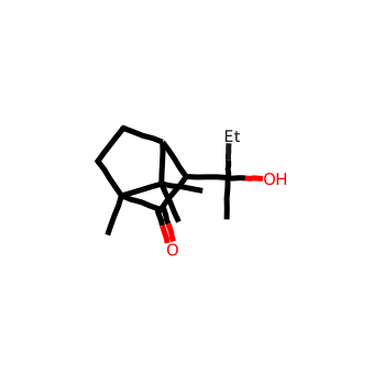 CCC(C)(O)C1C(=O)C2(C)CCC1C2(C)C